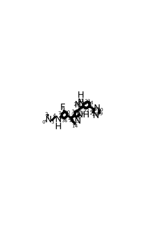 CN(C)CCNc1cc(F)cc(-c2ccnc3[nH]c(-c4n[nH]c5ccc(-c6cnccn6)cc45)cc23)c1